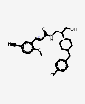 COc1ccc(C#N)cc1/C=C/C(=O)NC[C@@H](CO)N1CCC(Cc2ccc(Cl)cc2)CC1